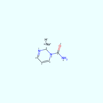 NC(=O)N1C=CC=NC1.[H-].[Na+]